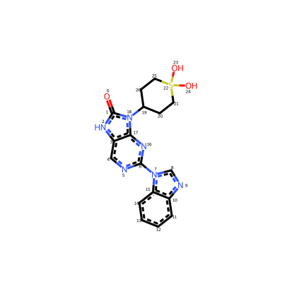 O=c1[nH]c2cnc(-n3cnc4ccccc43)nc2n1C1CCS(O)(O)CC1